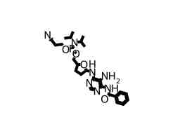 CC(C)N(C(C)C)P(OCCC#N)OCC1CCC(Nc2ncnc(NC(=O)c3ccccc3)c2N)O1